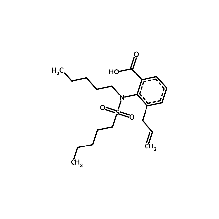 C=CCc1cccc(C(=O)O)c1N(CCCCC)S(=O)(=O)CCCCC